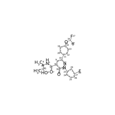 C[C@@H](O)[C@@H](C)NC(=O)c1cc(-c2ccc(OC(F)F)cc2)nn(-c2cccc(F)c2)c1=O